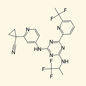 CC(Nc1nc(Nc2ccnc(C3(C#N)CC3)c2)nc(-c2cccc(C(C)(F)F)n2)n1)C(F)(F)F